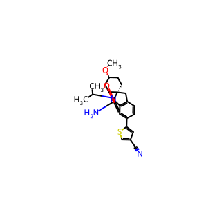 CO[C@H]1CC[C@]2(CC1)Cc1ccc(-c3cc(C#N)cs3)cc1C21N=C(N)N(C(C)C)C1=O